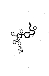 C=CCc1c(OC)ccc2c1=CC([C@]1(OC)C[C@@H](C=O)N(C(=O)OCC[Si](C)(C)C)C1)CC=2